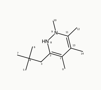 CC1=C(CC(C)(C)C)NN(C)C(C)=C1C